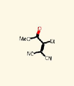 CCC(C(=O)OC)=C(C#N)C#N